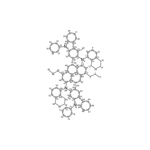 CCCc1cc(N(c2cccc3c2CCCC3)c2c(C)cc3c(c2C)c2ccccc2n3-c2ccccc2)c2ccc3c(CCC)cc(N(c4cccc5c4CCCC5)c4c(C)cc5c6ccccc6n(-c6ccccc6)c5c4C)c4ccc1c2c34